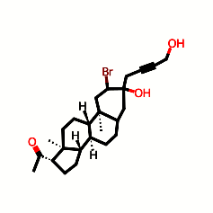 CC(=O)[C@H]1CC[C@H]2[C@@H]3CCC4CC(O)(CC#CCO)C(Br)C[C@]4(C)[C@H]3CC[C@]12C